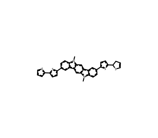 Cn1c2ccc(-c3ccc(-c4cccs4)s3)cc2c2cc3c(cc21)c1cc(-c2ccc(C4CC=CS4)s2)ccc1n3C